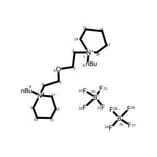 CCCC[N+]1(CCOCC[N+]2(CCCC)CCCCC2)CCCCC1.F[B-](F)(F)F.F[B-](F)(F)F